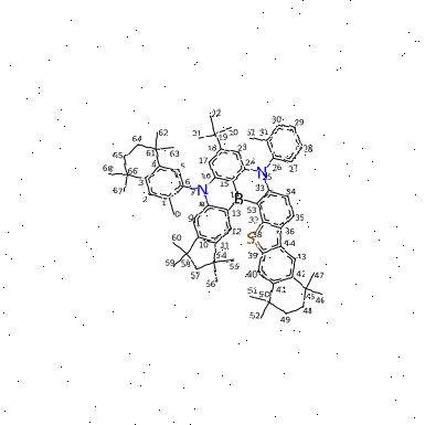 Cc1cc2c(cc1N1c3cc4c(cc3B3c5c1cc(C(C)(C)C)cc5N(c1ccccc1C)c1ccc5c(sc6cc7c(cc65)C(C)(C)CCC7(C)C)c13)C(C)(C)CC4(C)C)C(C)(C)CCC2(C)C